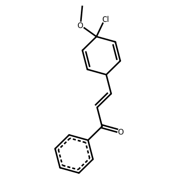 COC1(Cl)C=CC(/C=C/C(=O)c2ccccc2)C=C1